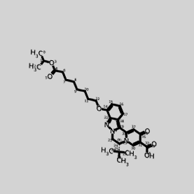 CC(C)OC(=O)CCCCCCCOc1cccc2c3n(nc12)C[C@@H](C(C)(C)C)n1cc(C(=O)O)c(=O)cc1-3